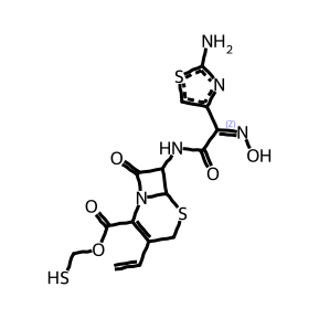 C=CC1=C(C(=O)OCS)N2C(=O)C(NC(=O)/C(=N\O)c3csc(N)n3)C2SC1